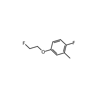 Cc1cc(OCCF)ccc1F